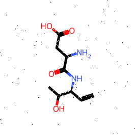 C=C[C@H](NC(=O)C(N)CC(=O)O)C(C)O